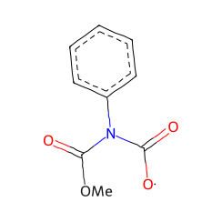 COC(=O)N(C([O])=O)c1ccccc1